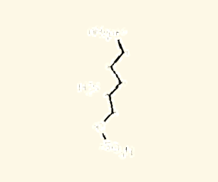 CCCCCCCCCCCCOS(=O)(=O)O.S